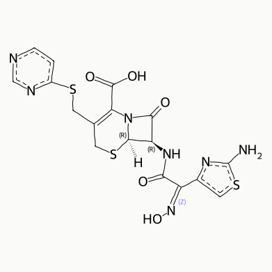 Nc1nc(/C(=N/O)C(=O)N[C@@H]2C(=O)N3C(C(=O)O)=C(CSc4ccncn4)CS[C@H]23)cs1